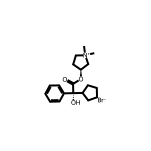 C[N+]1(C)CC[C@H](OC(=O)[C@](O)(c2ccccc2)C2CCCC2)C1.[Br-]